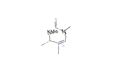 C=CN(C)/C=C(/C)C(C)NC